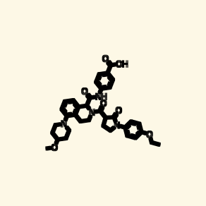 CCOc1ccc(N2CCC(C(=O)N3CCc4c(cccc4N4CCC(OC)CC4)C3C(=O)Nc3ccc(C(=O)O)cc3)C2=O)cc1